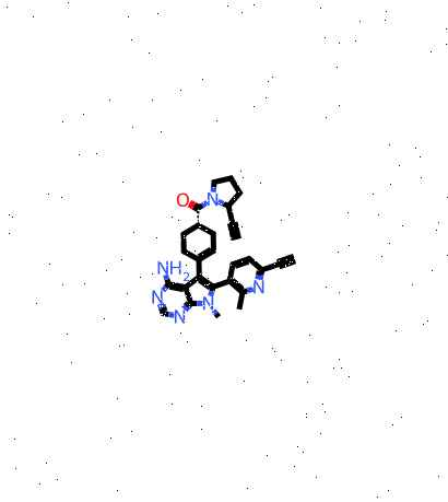 C#Cc1ccc(-c2c(C3=CC[C@@H](C(=O)N4CCCC4C#C)CC3)c3c(N)ncnc3n2C)c(C)n1